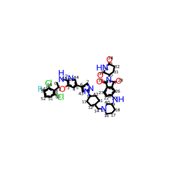 CC(Oc1cc(-c2cnn(C3CCC(CN4CCC[C@H](Nc5ccc6c(c5)C(=O)N(C5CCC(=O)NC5=O)C6=O)C4)CC3)c2)cnc1N)c1c(Cl)ccc(F)c1Cl